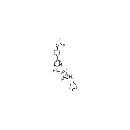 FC(F)Oc1ccc(-c2ccc(N[C@H]3C[C@@H]4CN(CC5CCOCC5)C[C@@H]4C3)nn2)cc1